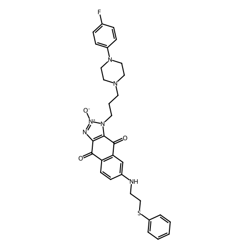 O=C1c2ccc(NCCSc3ccccc3)cc2C(=O)c2c1n[n+]([O-])n2CCCN1CCN(c2ccc(F)cc2)CC1